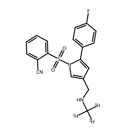 [2H]C([2H])([2H])NCc1cc(-c2ccc(F)cc2)n(S(=O)(=O)c2ccccc2C#N)c1